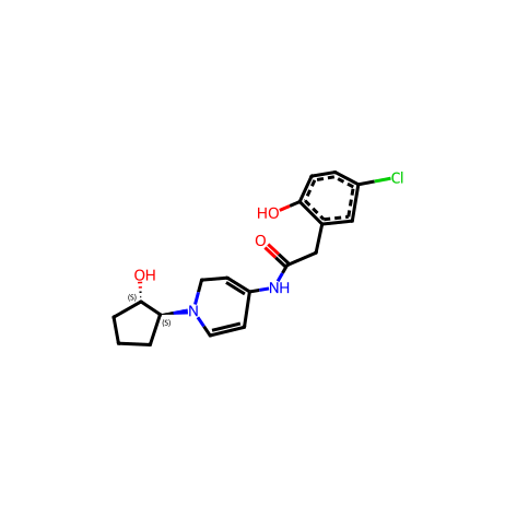 O=C(Cc1cc(Cl)ccc1O)NC1=CCN([C@H]2CCC[C@@H]2O)C=C1